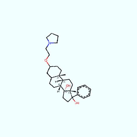 C[C@]12CCC(OCCN3CCCC3)CC1CC[C@@H]1[C@H]2CC[C@]2(C)C(O)(c3ccccc3)CC[C@@]12O